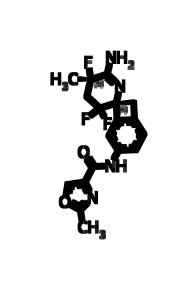 Cc1nc(C(=O)Nc2ccc3c(c2)[C@@]2(C3)N=C(N)[C@@](C)(F)CC2(F)F)co1